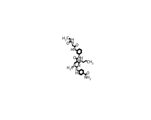 C=CC(=O)NCC(=O)Nc1cccc(NC(=O)C2=CN(C)C(Nc3ccc(C(N)=O)cc3)N=C2NCCC)c1